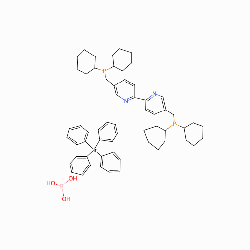 OB(O)O.c1cc(-c2ccc(CP(C3CCCCC3)C3CCCCC3)cn2)ncc1CP(C1CCCCC1)C1CCCCC1.c1cc[c]([Ir]([c]2ccccc2)([c]2ccccc2)[c]2ccccc2)cc1